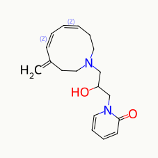 C=C1/C=C\C=C/CCN(CC(O)Cn2ccccc2=O)CC1